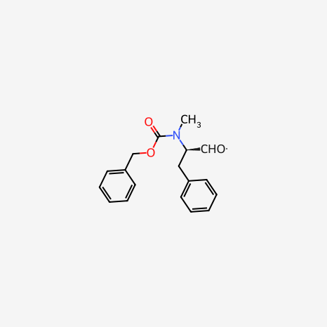 CN(C(=O)OCc1ccccc1)[C@@H]([C]=O)Cc1ccccc1